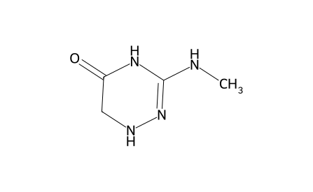 CNC1=NNCC(=O)N1